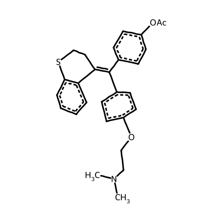 CC(=O)Oc1ccc(C(=C2CCSc3ccccc32)c2ccc(OCCN(C)C)cc2)cc1